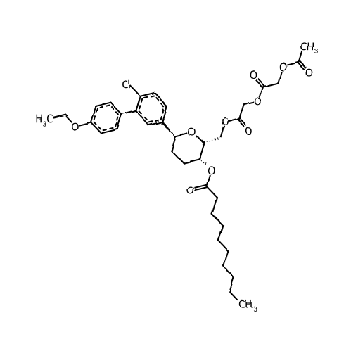 CCCCCCCCCC(=O)O[C@@H]1CC[C@@H](c2ccc(Cl)c(-c3ccc(OCC)cc3)c2)O[C@@H]1COC(=O)COC(=O)COC(C)=O